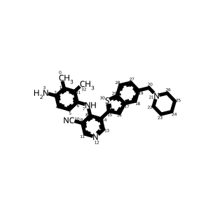 Cc1c(N)ccc(Nc2c(C#N)cncc2-c2cc3cc(CN4CCCCC4)ccc3s2)c1C